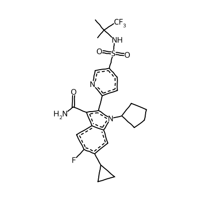 CC(C)(NS(=O)(=O)c1ccc(-c2c(C(N)=O)c3cc(F)c(C4CC4)cc3n2C2CCCC2)nc1)C(F)(F)F